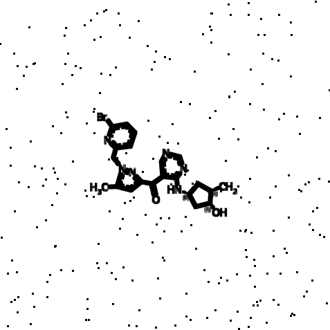 [CH2][C@@H]1C[C@@H](Nc2ncncc2C(=O)c2cc(C)n(Cc3cccc(Br)n3)n2)C[C@@H]1O